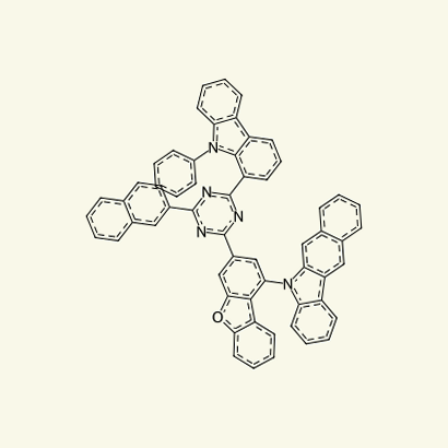 c1ccc(-n2c3ccccc3c3cccc(-c4nc(-c5ccc6ccccc6c5)nc(-c5cc(-n6c7ccccc7c7cc8ccccc8cc76)c6c(c5)oc5ccccc56)n4)c32)cc1